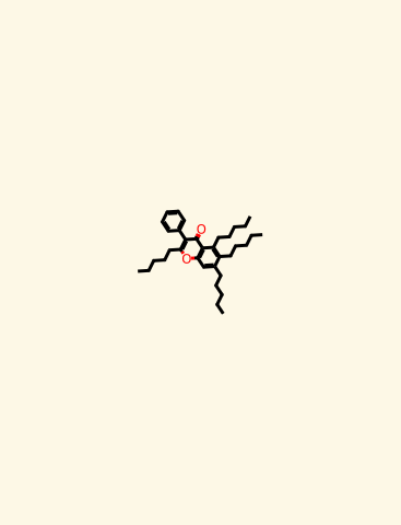 CCCCCc1cc2oc(CCCCC)c(-c3ccccc3)c(=O)c2c(CCCCC)c1CCCCC